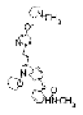 CNC(=O)c1ccccc1Sc1ccc2c(/C=C/c3ccc(OCC4CCCN4C)cn3)cn(C3CCCCO3)c2c1